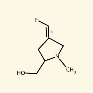 CN1C/C(=C/F)CC1CO